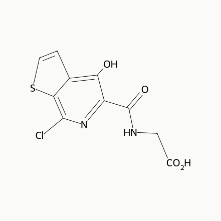 O=C(O)CNC(=O)c1nc(Cl)c2sccc2c1O